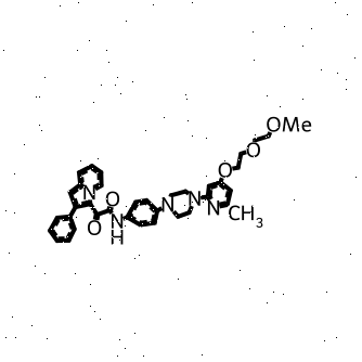 COCCOCCOc1cc(C)nc(N2CCN(c3ccc(NC(=O)C(=O)c4c(-c5ccccc5)cc5ccccn45)cc3)CC2)c1